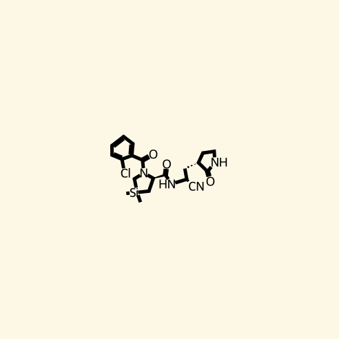 C[Si]1(C)C[C@H](C(=O)N[C@H](C#N)C[C@@H]2CCNC2=O)N(C(=O)c2ccccc2Cl)C1